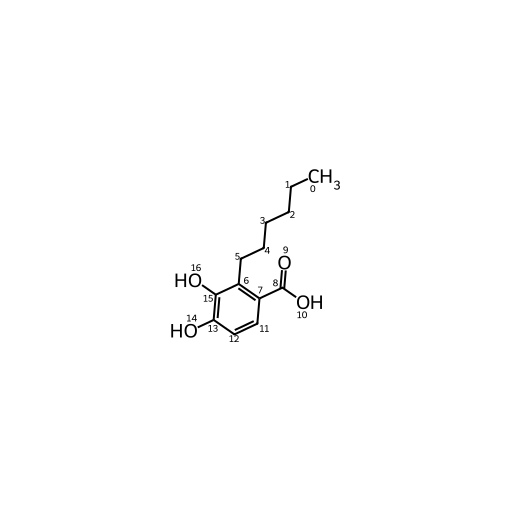 CCCCCCc1c(C(=O)O)ccc(O)c1O